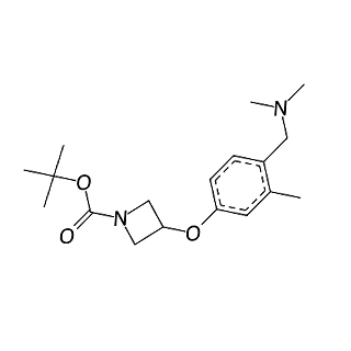 Cc1cc(OC2CN(C(=O)OC(C)(C)C)C2)ccc1CN(C)C